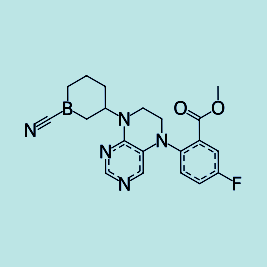 COC(=O)c1cc(F)ccc1N1CCN(C2CCCB(C#N)C2)c2ncncc21